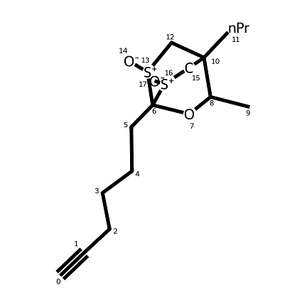 C#CCCCCC12OC(C)C(CCC)(C[S+]1[O-])C[S+]2[O-]